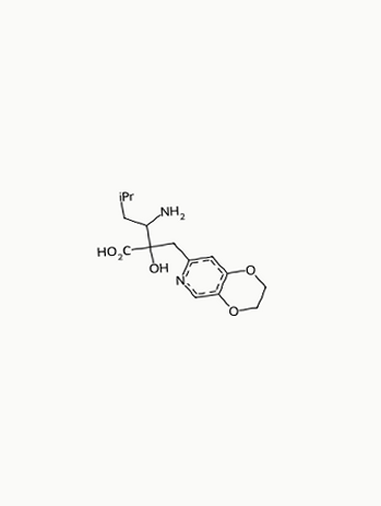 CC(C)CC(N)C(O)(Cc1cc2c(cn1)OCCO2)C(=O)O